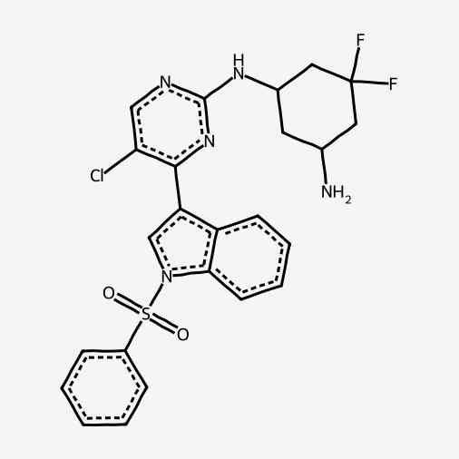 NC1CC(Nc2ncc(Cl)c(-c3cn(S(=O)(=O)c4ccccc4)c4ccccc34)n2)CC(F)(F)C1